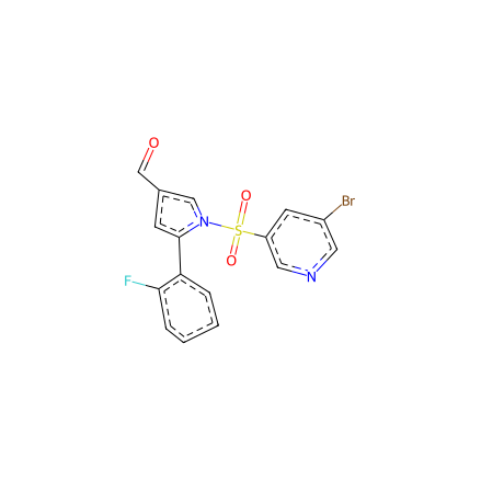 O=Cc1cc(-c2ccccc2F)n(S(=O)(=O)c2cncc(Br)c2)c1